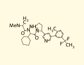 CNC(C)C(=O)N(N)C(C(=O)N1CCCC1c1cncc(-c2cc(C(C)(F)F)ccc2C)c1)C1CCCCC1